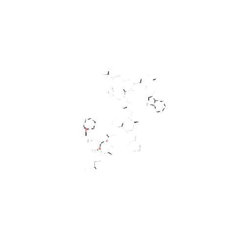 CNC(=N)NCCC[C@H](NC(=O)[C@H](CC1CC1)NC(=O)CNC(=O)[C@H](CC1CCCCC1)NC(=O)[C@@H](NC(=O)[C@H](CC(N)=O)NC(=O)[C@H](CCC(=O)O)NC(=O)[C@@H](Cc1ccc(O)cc1)NC(C)=O)[C@@H](C)O)C(=O)N[C@@H](Cc1c[nH]c2ccccc12)C(N)=O